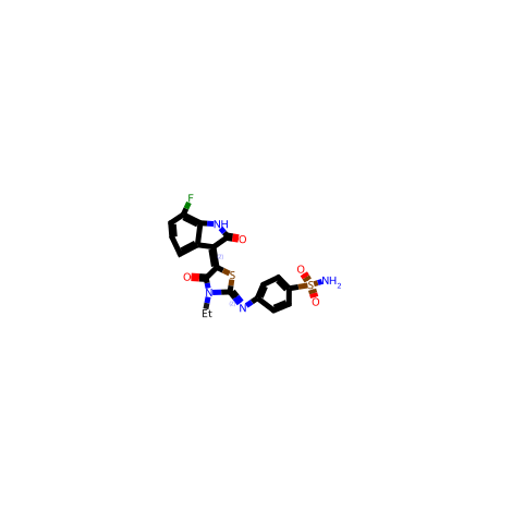 CCN1C(=O)/C(=C2/C(=O)Nc3c(F)cccc32)S/C1=N\c1ccc(S(N)(=O)=O)cc1